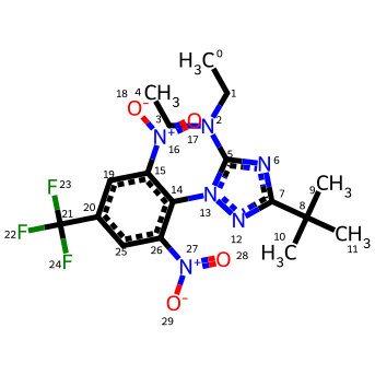 CCN(CC)c1nc(C(C)(C)C)nn1-c1c([N+](=O)[O-])cc(C(F)(F)F)cc1[N+](=O)[O-]